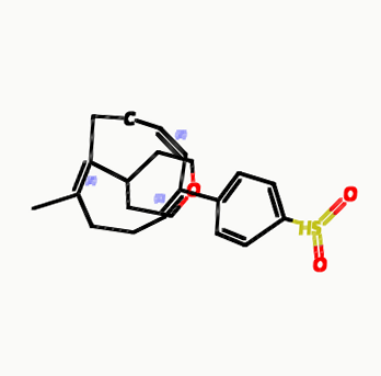 C/C1=C(/C2CCOCC2)CC/C=C\C(c2ccc([SH](=O)=O)cc2)=C/CC1